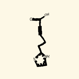 O=C(O)C#CCCc1ncc[nH]1